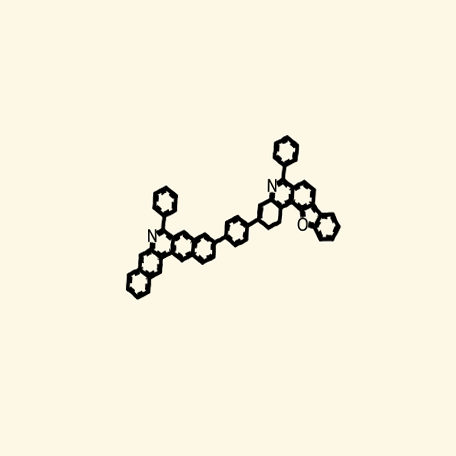 C1=C(c2ccc(-c3ccc4cc5c(cc4c3)c(-c3ccccc3)nc3cc4ccccc4cc35)cc2)CCc2c1nc(-c1ccccc1)c1ccc3c4ccccc4oc3c21